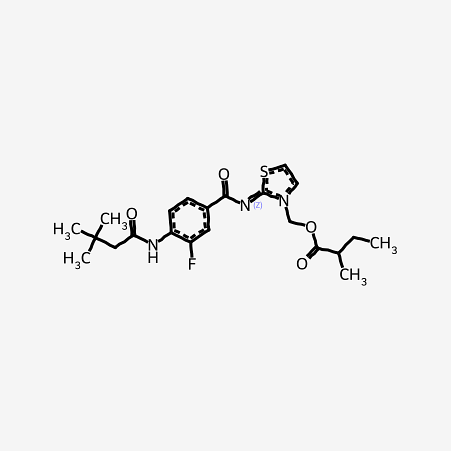 CCC(C)C(=O)OCn1ccs/c1=N\C(=O)c1ccc(NC(=O)CC(C)(C)C)c(F)c1